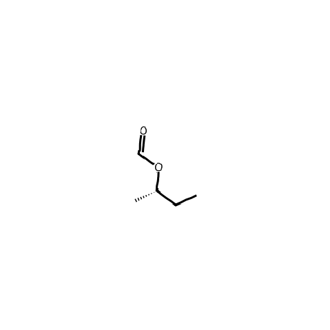 CC[C@H](C)OC=O